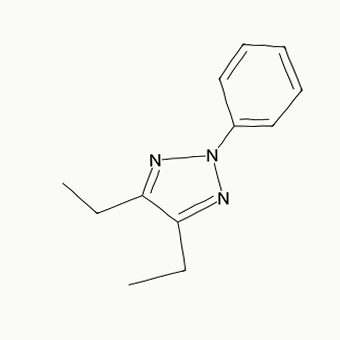 CCc1nn(-c2ccccc2)nc1CC